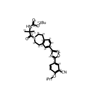 CC(C)Oc1ccc(-c2nc(-c3ccc4c(c3)CCN(C(=O)C(C)(C)NC(=O)OC(C)(C)C)CC4)no2)cc1C#N